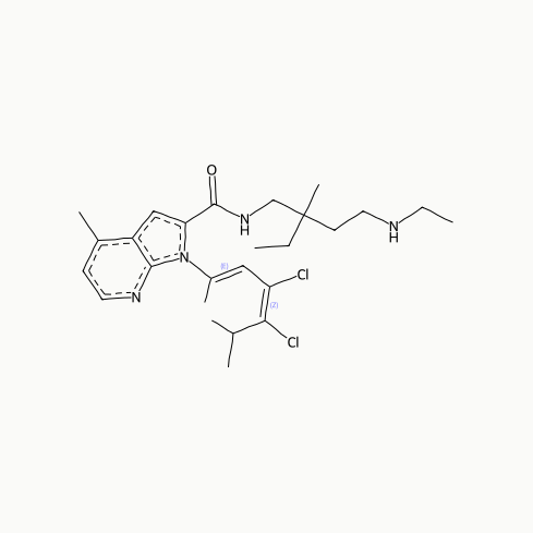 CCNCCC(C)(CC)CNC(=O)c1cc2c(C)ccnc2n1/C(C)=C/C(Cl)=C(/Cl)C(C)C